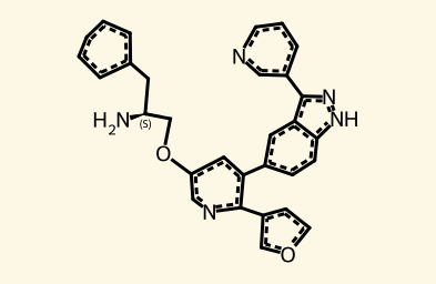 N[C@H](COc1cnc(-c2ccoc2)c(-c2ccc3[nH]nc(-c4cccnc4)c3c2)c1)Cc1ccccc1